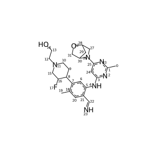 Cc1nc(Nc2cc(C3CCN(CCO)CC3F)c(C)cc2C=N)cc(N2CC3CC2CO3)n1